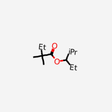 CCC(OC(=O)C(C)(C)CC)C(C)C